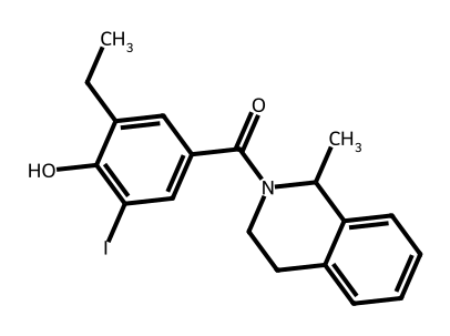 CCc1cc(C(=O)N2CCc3ccccc3C2C)cc(I)c1O